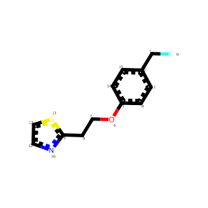 FCc1ccc(OCCc2n[c]cs2)cc1